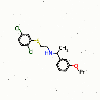 CC(C)Oc1cccc(C(C)NCCSc2cc(Cl)ccc2Cl)c1